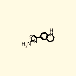 Nc1nc(-c2ccc3c(c2)CCCN3)cs1